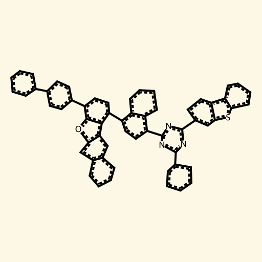 c1ccc(-c2ccc(-c3ccc(-c4ccc(-c5nc(-c6ccccc6)nc(-c6ccc7c(c6)sc6ccccc67)n5)c5ccccc45)c4c3oc3cc5ccccc5cc34)cc2)cc1